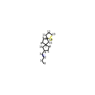 CC/C=C/C1CCC2(CCC3(CCCS3)C2)C1